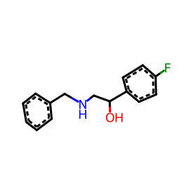 OC(CNCc1ccccc1)c1ccc(F)cc1